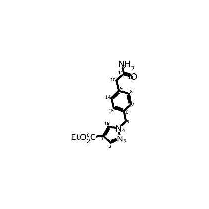 CCOC(=O)c1cnn(Cc2ccc(CC(N)=O)cc2)c1